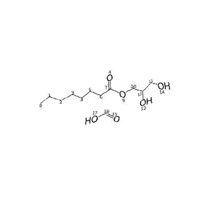 CCCCCCCC(=O)OCC(O)CO.O=CO